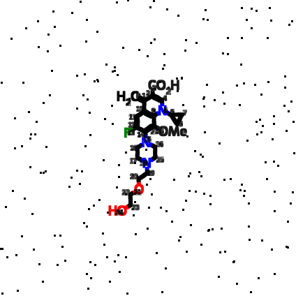 C=C1C(C(=O)O)=CN(C2CC2)c2c1cc(F)c(N1CCN(CCOCCO)CC1)c2OC